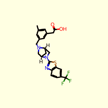 Cc1cc(CC(=O)O)cc(CN2C[C@@H]3C[C@H]2CN3c2nc3ccc(C(F)(F)F)cc3s2)c1